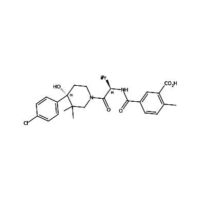 Cc1ccc(C(=O)N[C@@H](C(=O)N2CC[C@](O)(c3ccc(Cl)cc3)C(C)(C)C2)C(C)C)cc1C(=O)O